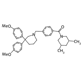 COc1ccc(C2(c3ccc(OC)cc3)CCCN(Cc3ccc(C(=O)N4CC(C)CC(C)C4)cc3)C2)cc1